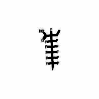 CCC(F)(C(=O)O)C(F)(F)C(F)(F)C(F)(F)C(F)(F)C(F)(F)F